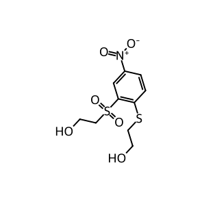 O=[N+]([O-])c1ccc(SCCO)c(S(=O)(=O)CCO)c1